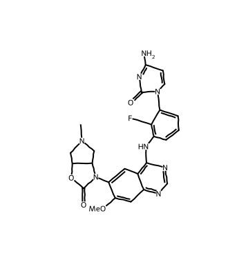 COc1cc2ncnc(Nc3cccc(-n4ccc(N)nc4=O)c3F)c2cc1N1C(=O)OC2CN(C)CC21